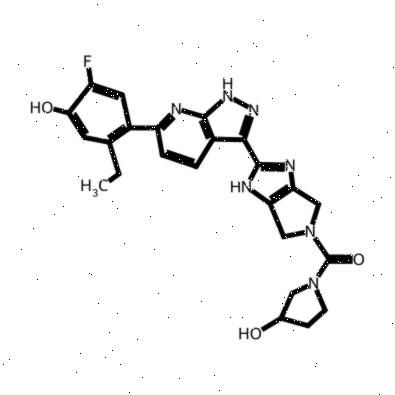 CCc1cc(O)c(F)cc1-c1ccc2c(-c3nc4c([nH]3)CN(C(=O)N3CCC(O)C3)C4)n[nH]c2n1